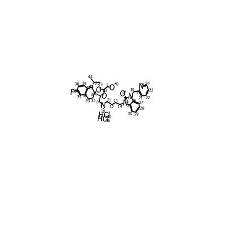 COCC(=O)O[C@]1(CCN(C)CCCCn2c(=O)n(Cc3ccccn3)c3ccccc32)CCc2cc(F)ccc2[C@@H]1C(C)C.Cl.Cl